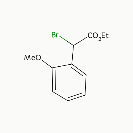 CCOC(=O)C(Br)c1ccccc1OC